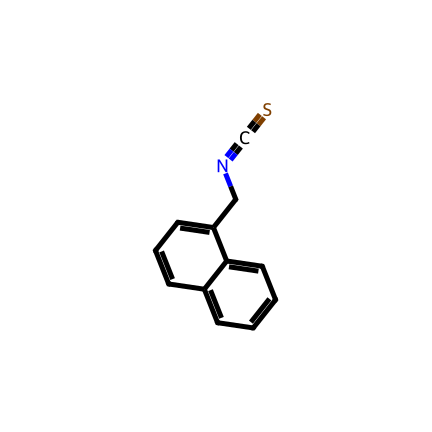 S=C=NCc1cccc2ccccc12